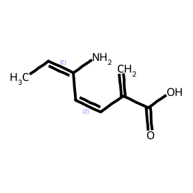 C=C(/C=C\C(N)=C/C)C(=O)O